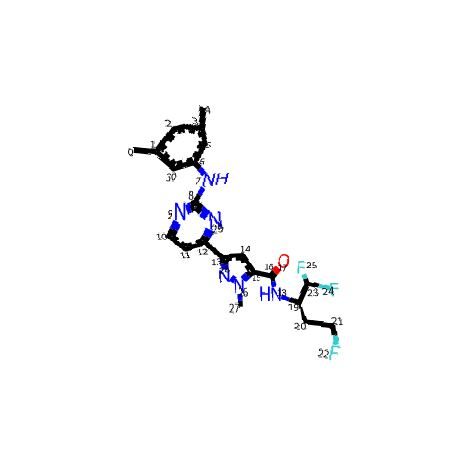 Cc1cc(C)cc(Nc2nccc(-c3cc(C(=O)N[C@H](CCF)C(F)F)n(C)n3)n2)c1